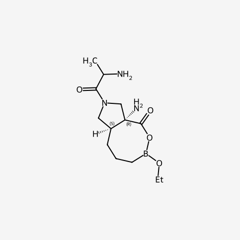 CCOB1CCC[C@H]2CN(C(=O)C(C)N)C[C@@]2(N)C(=O)O1